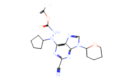 C=C(C)OC(=O)NN(c1nc(C#N)nc2c1ncn2C1CCCCO1)C1CCCC1